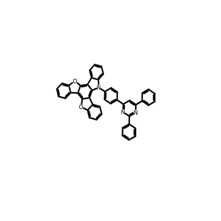 c1ccc(-c2cc(-c3ccc(-n4c5ccccc5c5c6oc7ccccc7c6c6oc7ccccc7c6c54)cc3)nc(-c3ccccc3)n2)cc1